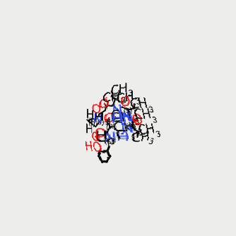 CC[C@H](C)C(C(CC(=O)N1[C@H](C(OC)[C@@H](C)C(=O)N[C@@H](Cc2ccccc2)C(=O)O)C[C@@H]2C[C@@H]21)OC)N(C)C(=O)[C@@H](NC(=O)[C@@H](NC)C(C)C)C(C)C